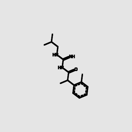 Cc1ccccc1C(C)C(=O)NC(=N)NCC(C)C